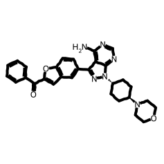 Nc1ncnc2c1c(-c1ccc3oc(C(=O)c4ccccc4)cc3c1)nn2[C@H]1CC[C@H](N2CCOCC2)CC1